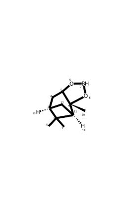 CC1(C)[C@H]2CC3OBO[C@]3(C)[C@@H]1C2